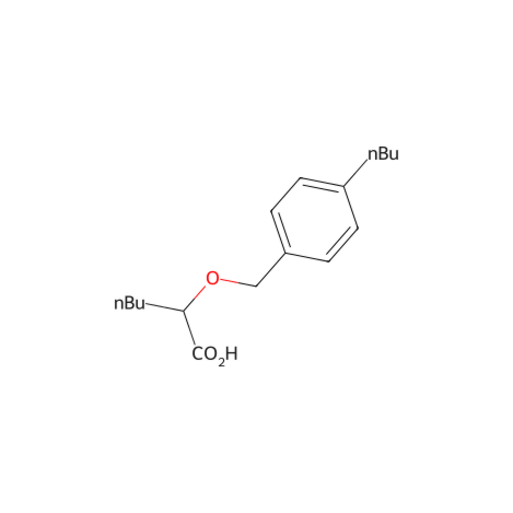 CCCCc1ccc(COC(CCCC)C(=O)O)cc1